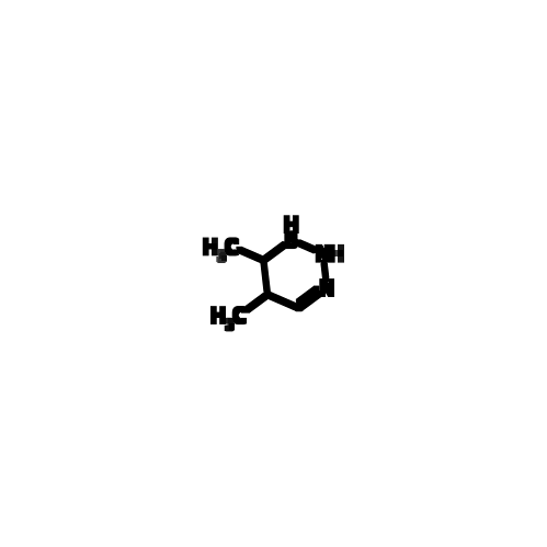 CC1BNN=CC1C